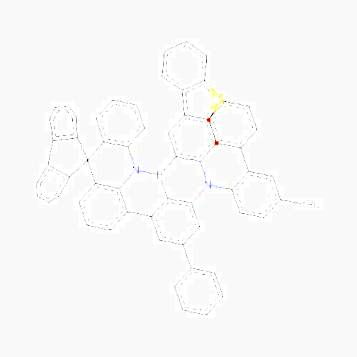 CC(C)(C)c1ccc(N2c3cc4sc5ccccc5c4cc3B3c4c(cc(-c5ccccc5)cc42)-c2cccc4c2N3c2ccccc2C42c3ccccc3-c3ccccc32)c(-c2ccccc2)c1